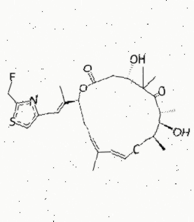 CC1=C/C[C@@H](/C(C)=C/c2csc(CF)n2)OC(=O)C[C@H](O)C(C)(C)C(=O)[C@H](C)[C@@H](O)[C@@H](C)C\C=C\1